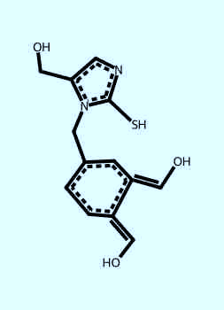 OC=c1ccc(Cn2c(CO)cnc2S)cc1=CO